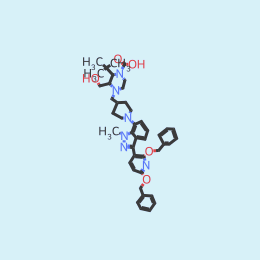 Cn1nc(-c2ccc(OCc3ccccc3)nc2OCc2ccccc2)c2cccc(N3CCC(CN4CCN(C(=O)O)C(C(C)(C)C)C4CO)CC3)c21